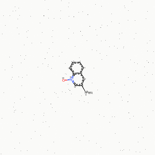 CCCCCc1cc2ccccc2[n+]([O-])c1